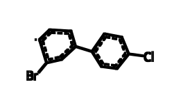 Clc1ccc(-c2cc[c]c(Br)c2)cc1